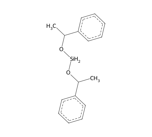 CC(O[SiH2]OC(C)c1ccccc1)c1ccccc1